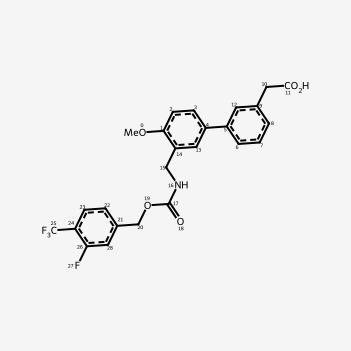 COc1ccc(-c2cccc(CC(=O)O)c2)cc1CNC(=O)OCc1ccc(C(F)(F)F)c(F)c1